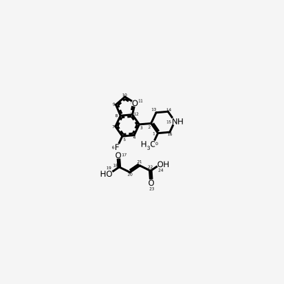 CC1=C(c2cc(F)cc3ccoc23)CCNC1.O=C(O)C=CC(=O)O